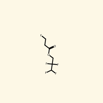 O=C(CCF)OCC(F)(F)C(F)F